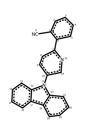 N#Cc1ccccc1-c1ccc(-n2c3ccccc3c3ccccc32)cn1